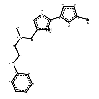 CN(CCOc1ccccc1)Cc1cnc(-c2ccc(Br)s2)[nH]1